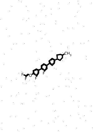 CC1CCC(c2ccc(-c3ccc(-c4ccc(OC=C(F)F)c(F)c4)c(F)c3)cc2)CC1